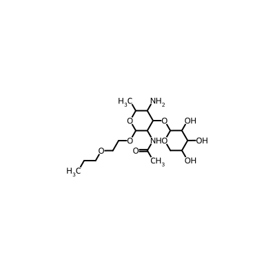 CCCOCCOC1OC(C)C(N)C(OC2OCC(O)C(O)C2O)C1NC(C)=O